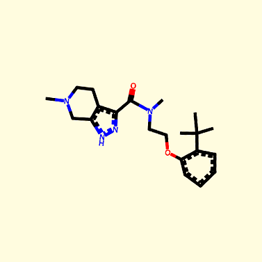 CN1CCc2c(C(=O)N(C)CCOc3ccccc3C(C)(C)C)n[nH]c2C1